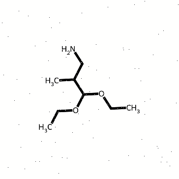 CCOC(OCC)C(C)CN